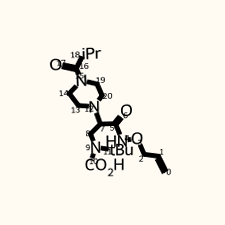 C=CCONC(=O)C(CN(C(=O)O)C(C)(C)C)N1CCN(C(=O)C(C)C)CC1